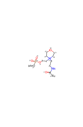 CCC(C)C(=O)NCC[N+]1(CCOS(=O)(=O)OC)CCOCC1